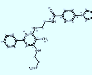 CC(=O)NCCNc1nc(-c2ccccc2)nc(NCCNC(=O)c2ccc(-n3cccc3)cc2)c1C